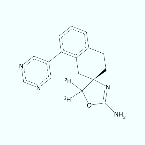 [2H]C1([2H])OC(N)=N[C@]12CCc1cccc(-c3cncnc3)c1C2